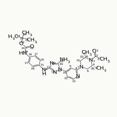 CC(=O)N1[C@H](C)CN(c2cc(-n3nc(Nc4ccc(NC(=O)OC(C)(C)C)cc4)nc3N)ccn2)C[C@@H]1C